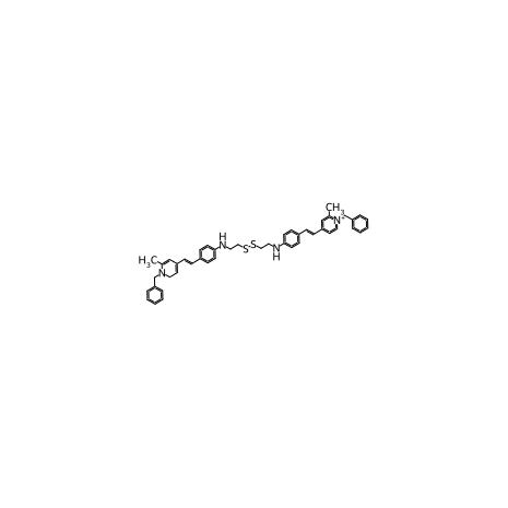 CC1=CC(/C=C/c2ccc(NCCSSCCNc3ccc(/C=C/c4cc[n+](Cc5ccccc5)c(C)c4)cc3)cc2)=CCN1Cc1ccccc1